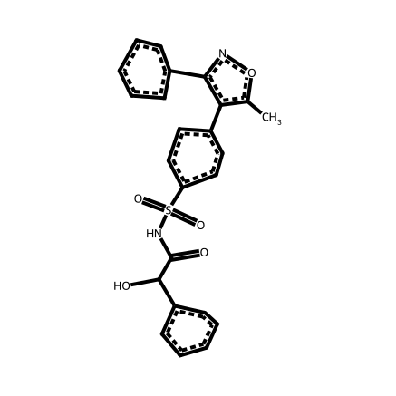 Cc1onc(-c2ccccc2)c1-c1ccc(S(=O)(=O)NC(=O)C(O)c2ccccc2)cc1